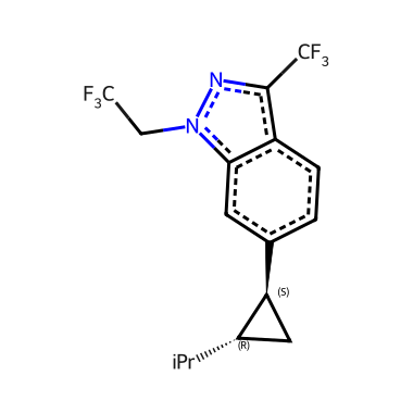 CC(C)[C@H]1C[C@@H]1c1ccc2c(C(F)(F)F)nn(CC(F)(F)F)c2c1